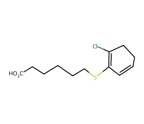 O=C(O)CCCCCSC1=C(Cl)CCC=C1